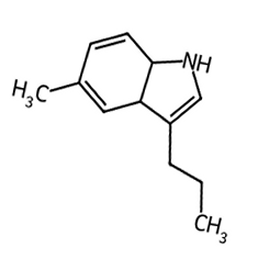 CCCC1=CNC2C=CC(C)=CC12